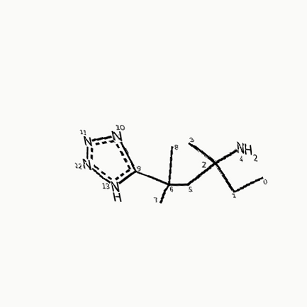 CCC(C)(N)CC(C)(C)c1nnn[nH]1